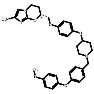 O=[N+]([O-])c1cn2c(n1)O[C@@H](COc1ccc(OC3CCN(Cc4ccc(Oc5ccc(OC(F)(F)F)cc5)cc4)CC3)cc1)CC2